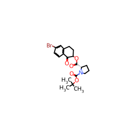 CC(C)(C)OC(=O)N1CCC[C@H]1C(=O)OC1CCc2cc(Br)ccc2C1=O